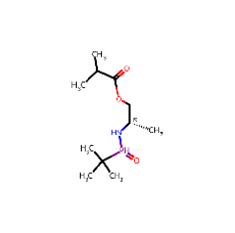 CC(C)C(=O)OC[C@H](C)N[PH](=O)C(C)(C)C